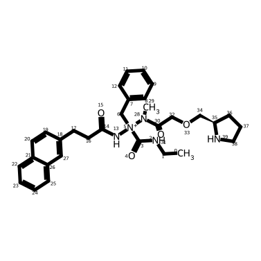 CCNC(=O)[N+](Cc1ccccc1)(NC(=O)CCc1ccc2ccccc2c1)N(C)C(=O)COC[C@H]1CCCN1